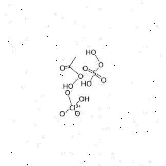 CC(=O)OO.O=S(=O)(O)OO.[O-][Cl+3]([O-])([O-])O